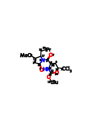 COC1=CC(=O)N(C(=O)[C@@H](CCC(Cl)(Cl)Cl)NC(=O)OC(C)(C)C)C1CC(C)C